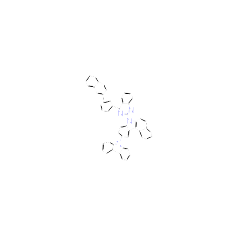 c1cc(-c2ccc3ccccc3c2)cc(-c2nc(-n3c4ccc(-n5c6ccccc6c6ccccc65)cc4c4c5ccccc5ccc43)nc3ccccc23)c1